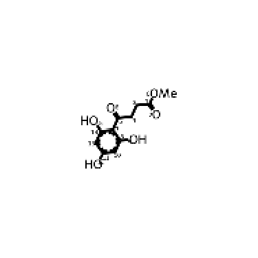 COC(=O)CCC(=O)c1c(O)cc(O)cc1O